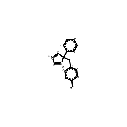 Clc1ccc(CC2(c3ccccc3)C=NC=N2)cc1